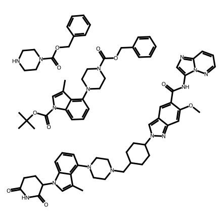 COc1cc2nn(C3CCC(CN4CCN(c5cccc6c5c(C)cn6C5CCC(=O)NC5=O)CC4)CC3)cc2cc1C(=O)Nc1cnc2cccnn12.Cc1cn(C(=O)OC(C)(C)C)c2cccc(N3CCN(C(=O)OCc4ccccc4)CC3)c12.O=C(OCc1ccccc1)N1CCNCC1